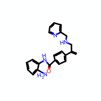 C=C(CNCc1ccccn1)c1ccc(C(=O)Nc2ccccc2N)cc1